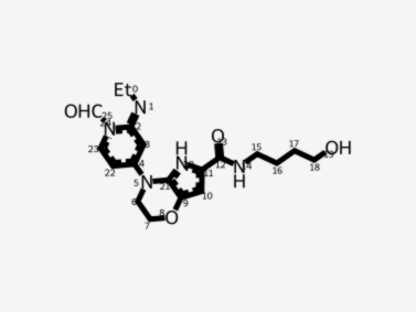 CC/N=c1/cc(N2CCOc3cc(C(=O)NCCCCO)[nH]c32)ccn1C=O